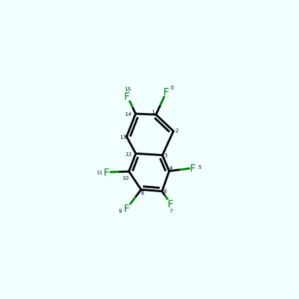 Fc1cc2c(F)c(F)c(F)c(F)c2cc1F